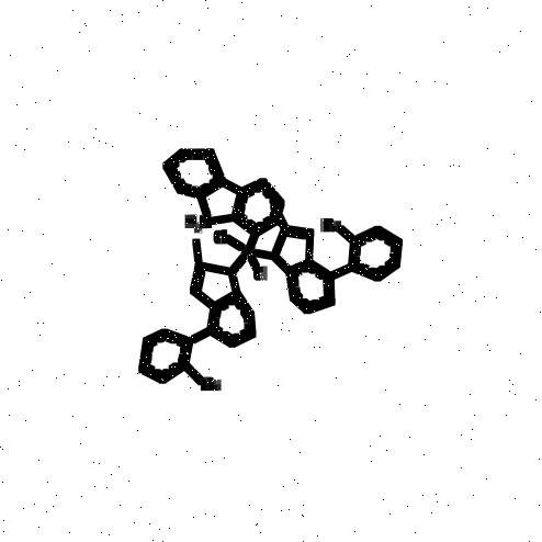 CCC(C)c1ccccc1-c1cccc2c1C=C(C)[CH]2[Zr]([Cl])([Cl])([c]1cccc2c1[SiH2]c1ccccc1-2)[CH]1C(C)=Cc2c(-c3ccccc3C(C)CC)cccc21